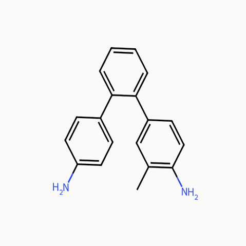 Cc1cc(-c2ccccc2-c2ccc(N)cc2)ccc1N